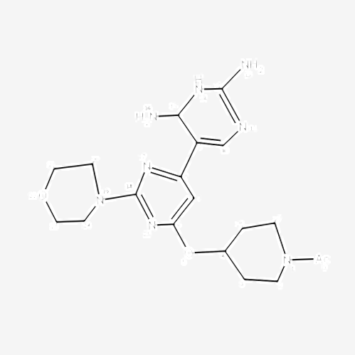 CC(=O)N1CCC(Oc2cc(C3=CN=C(N)NC3N)nc(N3CCOCC3)n2)CC1